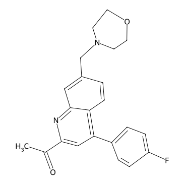 CC(=O)c1cc(-c2ccc(F)cc2)c2ccc(CN3CCOCC3)cc2n1